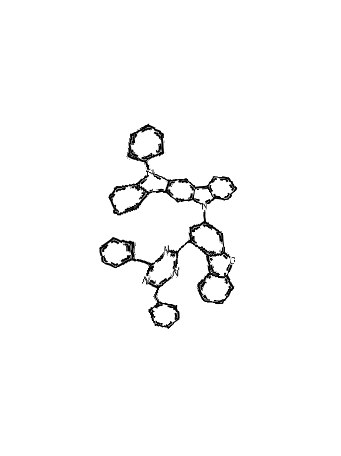 c1ccc(-c2nc(-c3ccccc3)nc(-c3cc(-n4c5ccccc5c5cc6c(cc54)c4ccccc4n6-c4ccccc4)cc4oc5ccccc5c34)n2)cc1